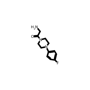 NCC(=O)N1CCN(c2ccc(F)cc2)CC1